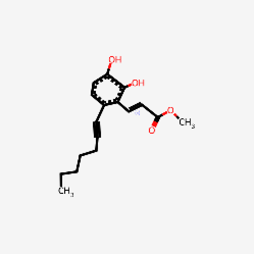 CCCCCC#Cc1ccc(O)c(O)c1/C=C/C(=O)OC